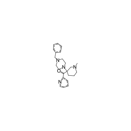 CN1CCCC(C(=O)c2ccccn2)(N2CCN(Cc3ccccc3)CC2)C1